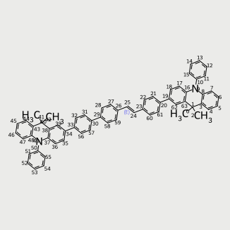 CC1(C)c2ccccc2N(c2ccccc2)c2ccc(-c3ccc(/C=C/c4ccc(-c5ccc(-c6ccc7c(c6)C(C)(C)c6ccccc6N7c6ccccc6)cc5)cc4)cc3)cc21